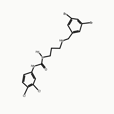 O=C(Nc1ccc(Cl)c(Cl)c1)N(S)CCCNCc1cc(Br)cc(Br)c1